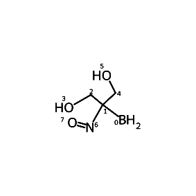 BC(CO)(CO)N=O